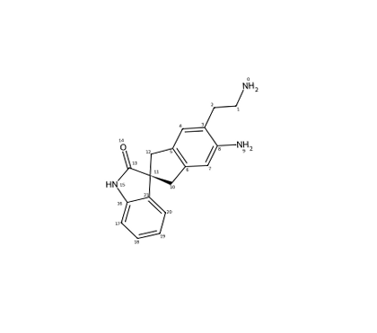 NCCc1cc2c(cc1N)C[C@]1(C2)C(=O)Nc2ccccc21